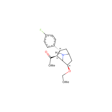 COCO[C@@H]1CC2C[C@@H](c3ccc(F)cc3)[C@H](C(=O)OC)C1N2C